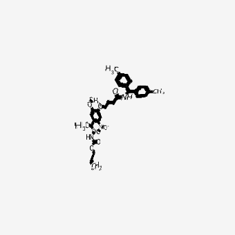 C=CCOC(=O)NOC(C)c1cc(OC)c(OCCCC(=O)NC(c2ccc(C)cc2)c2ccc(C)cc2)cc1[N+](=O)[O-]